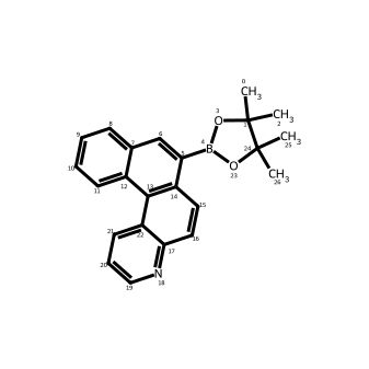 CC1(C)OB(c2cc3ccccc3c3c2ccc2ncccc23)OC1(C)C